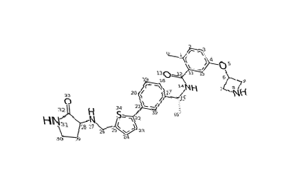 Cc1ccc(OC2CNC2)cc1C(=O)N[C@H](C)c1cccc(-c2ccc(CNC3CCNC3=O)s2)c1